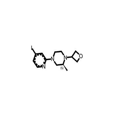 C[C@H]1CN(c2cc(I)ccn2)CCN1C1COC1